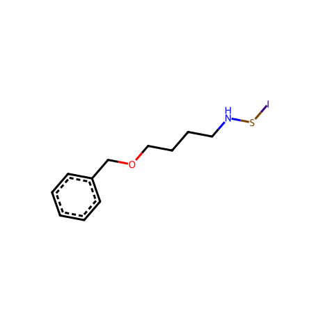 ISNCCCCOCc1ccccc1